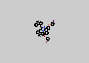 CC1(C)c2ccccc2-c2c(-c3sc(-c4cccc5c4-c4ccccc4C5(C)C)c4nc5c6cc(Oc7cccc(I)c7)ccc6c6ccc(Oc7cccc(I)c7)cc6c5nc34)cccc21